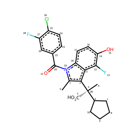 Cc1c([C@](C)(C(=O)O)C2CCCC2)c2c(F)c(O)ccc2n1C(=O)c1ccc(Cl)c(F)c1